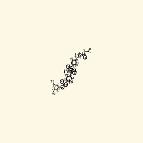 CCCC(=O)NCCc1ccc(S(=O)(=O)NC(=O)c2ccc(OC(=O)OC(CCC)CCC)nc2)cc1